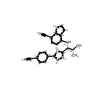 C[C@@H](O)[C@@H](Nc1ccc(C#N)c2sccc12)c1nnc(-c2ccc(C#N)cc2)o1